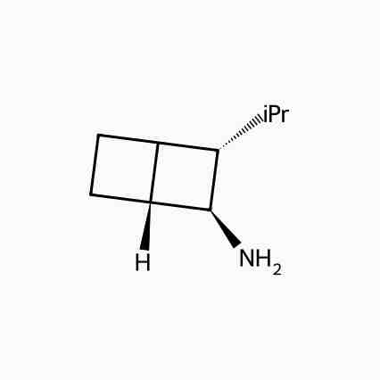 CC(C)[C@H]1C2CC[C@H]2[C@@H]1N